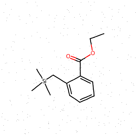 CCOC(=O)c1ccccc1C[Si](C)(C)C